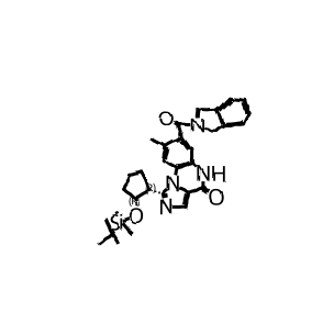 Cc1cc2c(cc1C(=O)N1Cc3ccccc3C1)[nH]c(=O)c1cnc([C@H]3CCC[C@H]3O[Si](C)(C)C(C)(C)C)n12